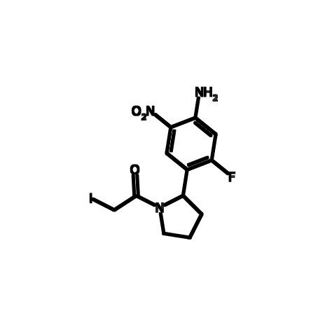 Nc1cc(F)c(C2CCCN2C(=O)CI)cc1[N+](=O)[O-]